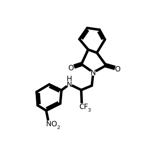 O=C1C2C=CC=CC2C(=O)N1CC(Nc1cccc([N+](=O)[O-])c1)C(F)(F)F